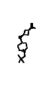 CN[C@H]1C[C@@H](OC2CCN(CC(C)(C)C)CC2)C1